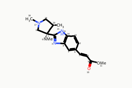 CN[C@]1(c2nc3cc(/C=C/C(=O)OC)ccc3[nH]2)CN(C)C[C@H]1C